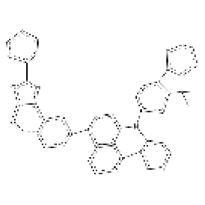 CC1(C)c2ccccc2-c2ccc(N(c3ccc(-c4ccc5ccc6oc(-c7ccccc7)nc6c5c4)cc3)c3ccccc3-c3ccccc3)cc21